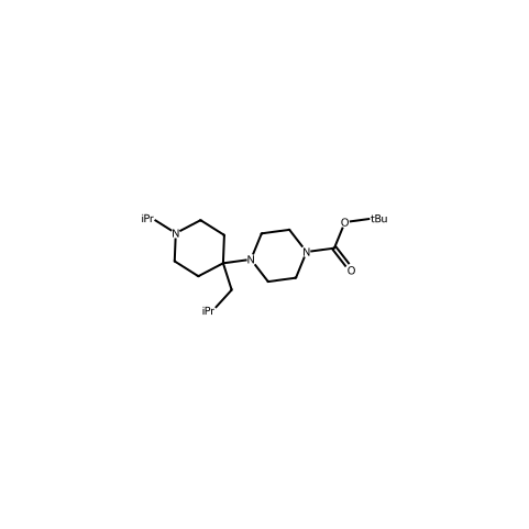 CC(C)CC1(N2CCN(C(=O)OC(C)(C)C)CC2)CCN(C(C)C)CC1